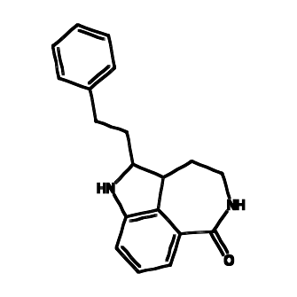 O=C1NCCC2c3c(cccc31)NC2CCc1ccccc1